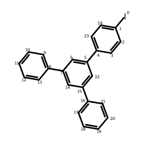 Ic1ccc(-c2cc(-c3ccccc3)cc(-c3ccccc3)c2)cc1